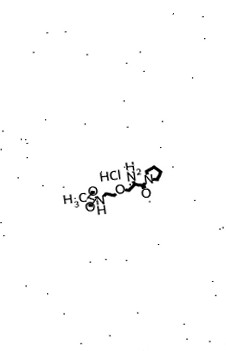 CS(=O)(=O)NCCOCC(N)C(=O)N1CCCC1.Cl